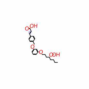 CCCCC(CCCOc1cccc(OCc2ccc(/C=C/C(=O)O)cc2)c1)OO